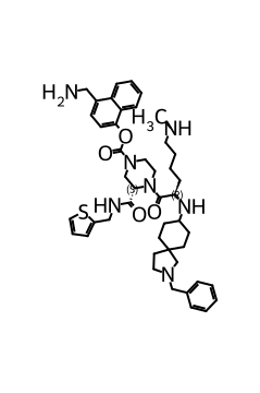 CNCCCC[C@@H](NC1CCC2(CC1)CCN(Cc1ccccc1)C2)C(=O)N1CCN(C(=O)Oc2ccc(CN)c3ccccc23)C[C@H]1C(=O)NCc1cccs1